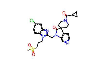 CS(=O)(=O)CCCn1c(CN2C(=O)C3(CCN(C(=O)C4CC4)CC3)c3ccncc32)nc2cc(Cl)ccc21